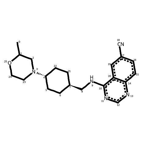 CC1CN([C@H]2CC[C@H](CNc3ncnc4ccc(C#N)cc34)CC2)CCO1